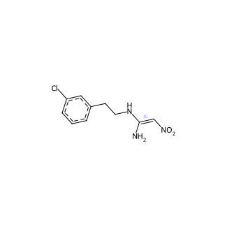 N/C(=C\[N+](=O)[O-])NCCc1cccc(Cl)c1